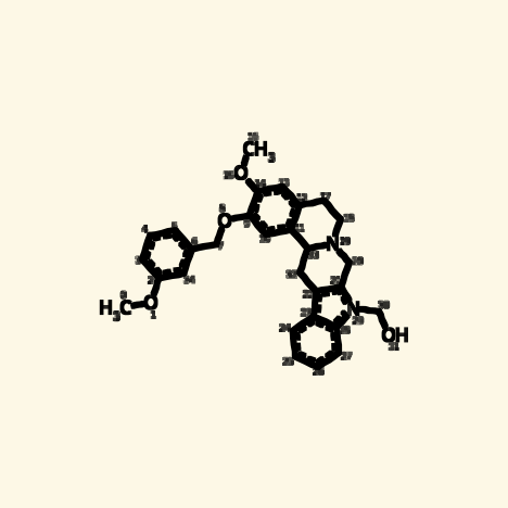 COc1cccc(COc2cc3c(cc2OC)CCN2Cc4c(c5ccccc5n4CO)CC32)c1